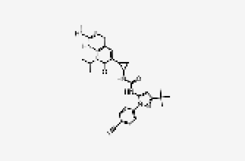 CNC1=NCc2cc(C3CC3NC(=O)Nc3cc(C(C)(C)C)nn3-c3ccc(C#N)cc3)c(=O)n(C(C)C)c2N1